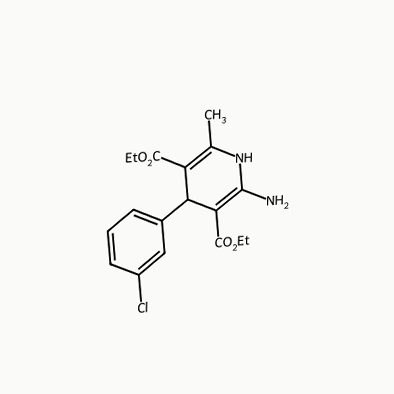 CCOC(=O)C1=C(C)NC(N)=C(C(=O)OCC)C1c1cccc(Cl)c1